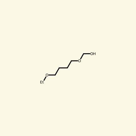 CCOCCCCOCO